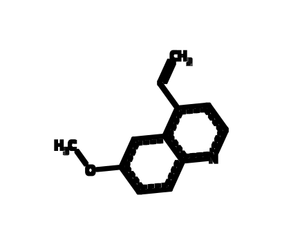 C=Cc1ccnc2ccc(OC)cc12